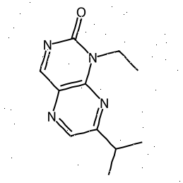 CCn1c(=O)ncc2ncc(C(C)C)nc21